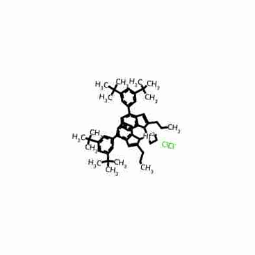 CCCC1=Cc2c(-c3cc(C(C)(C)C)cc(C(C)(C)C)c3)cccc2[CH]1[Hf+2]1([CH]2C(CCC)=Cc3c(-c4cc(C(C)(C)C)cc(C(C)(C)C)c4)cccc32)[CH2]C[CH2]1.[Cl-].[Cl-]